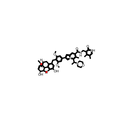 COc1cc(-c2cc3cc(C(=O)NCc4c(C)c(C)c[nH]c4=O)c(C)c(C(C)N4CCOCC4)n3c2)cc(OC)c1Cc1cc(O)c2c3c1C[C@@H]1[C@@H]4C=C[C@H](O)[C@H](O2)[C@]34CCN1C